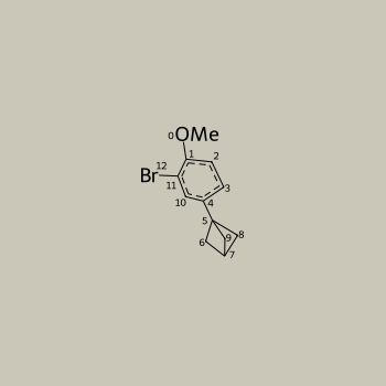 COc1ccc(C23CC(C2)C3)cc1Br